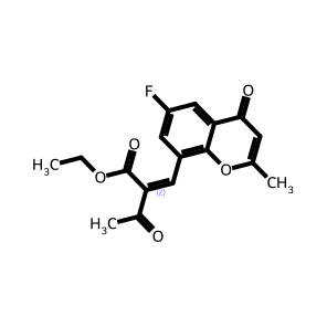 CCOC(=O)/C(=C\c1cc(F)cc2c(=O)cc(C)oc12)C(C)=O